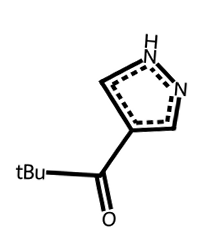 CC(C)(C)C(=O)c1cn[nH]c1